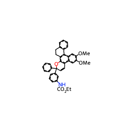 CCOC(=O)Nc1cccc(C2(c3ccccc3)C=Cc3c(c4c(c5cc(OC)c(OC)cc35)-c3ccccc3CC4)O2)c1